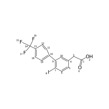 O=C(O)Cc1ccc(I)c(-c2ccc(C(F)(F)F)cc2)c1